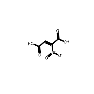 O=C(O)/C=C(/C(=O)O)[N+](=O)[O-]